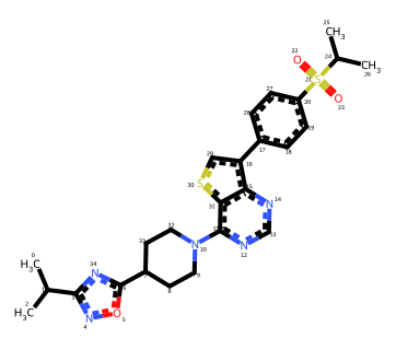 CC(C)c1noc(C2CCN(c3ncnc4c(-c5ccc(S(=O)(=O)C(C)C)cc5)csc34)CC2)n1